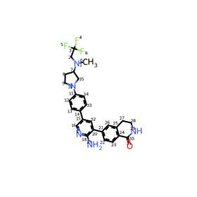 CN(CC(F)(F)F)C1CCN(c2ccc(-c3cnc(N)c(-c4ccc5c(c4)CCNC5=O)c3)cc2)C1